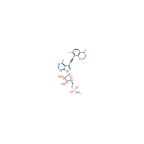 Cc1ncnc2c1c(C#Cc1c(F)ccc3c1OCCN3C)cn2[C@@H]1O[C@@H](CCS(N)(=O)=O)[C@@H](O)[C@H]1O